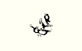 CCN1CC[C@@H](C)N(C(=O)Nc2cccnc2)c2nc(Cl)ccc21